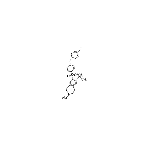 CN1CCc2cc(N(C)C)c(S(=O)(=O)c3ccc(Cc4ccc(F)cc4)cc3)cc2CC1